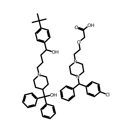 CC(C)(C)c1ccc(C(O)CCCN2CCC(C(O)(c3ccccc3)c3ccccc3)CC2)cc1.O=C(O)COCCN1CCN(C(c2ccccc2)c2ccc(Cl)cc2)CC1